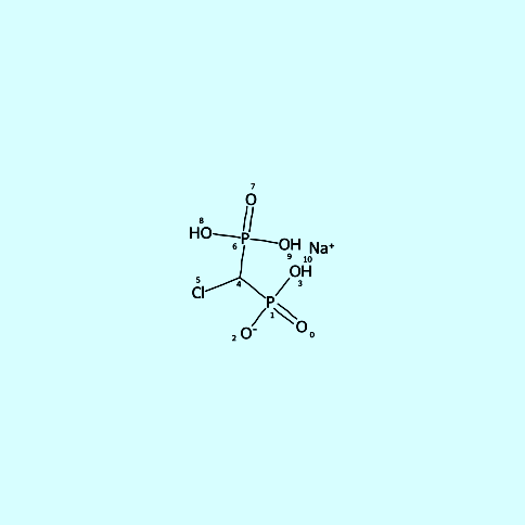 O=P([O-])(O)C(Cl)P(=O)(O)O.[Na+]